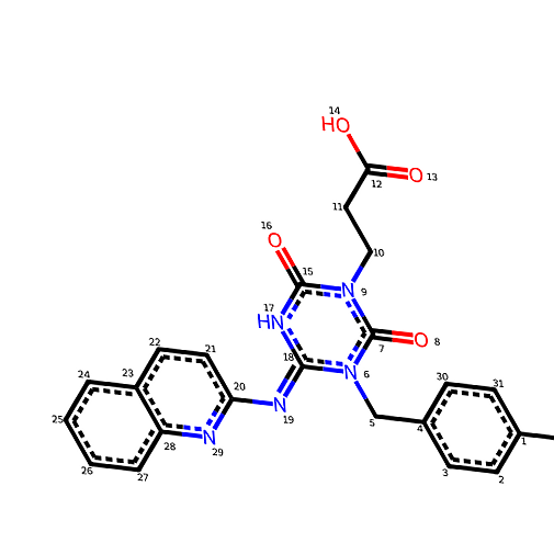 Cc1ccc(Cn2c(=O)n(CCC(=O)O)c(=O)[nH]/c2=N\c2ccc3ccccc3n2)cc1